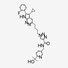 CC(C)(O)c1ccc(CNC(=O)c2cn(CCCCc3cc4c(C5CC5)c(-c5ccccc5F)[nH]c4nn3)nn2)cn1